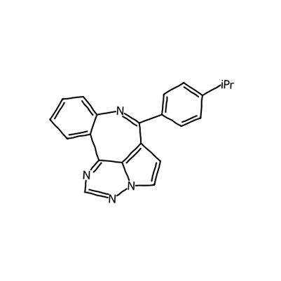 CC(C)c1ccc(C2=Nc3ccccc3-c3ncnn4ccc2c34)cc1